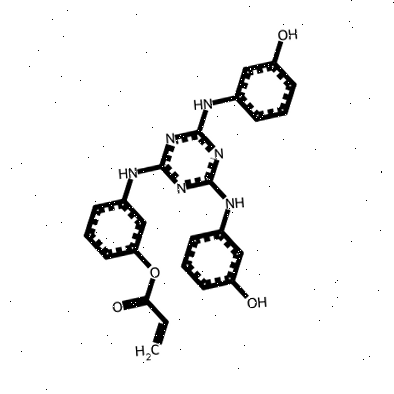 C=CC(=O)Oc1cccc(Nc2nc(Nc3cccc(O)c3)nc(Nc3cccc(O)c3)n2)c1